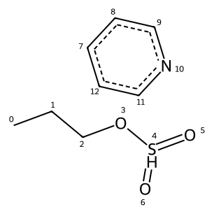 CCCO[SH](=O)=O.c1ccncc1